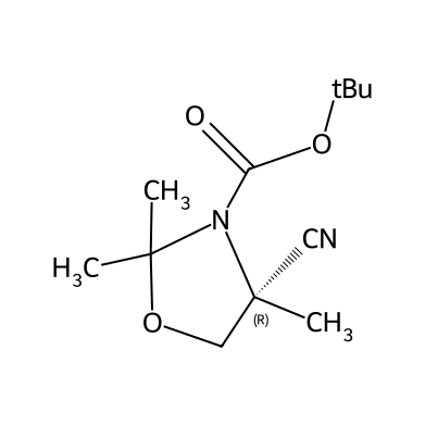 CC(C)(C)OC(=O)N1C(C)(C)OC[C@@]1(C)C#N